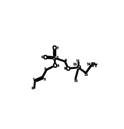 CC=CCOS(=O)(=O)CO[Si](C)(C)CC(C)C